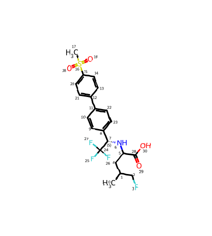 CC(CF)CC(N[C@@H](c1ccc(-c2ccc(S(C)(=O)=O)cc2)cc1)C(F)(F)F)C(=O)O